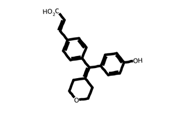 O=C(O)C=Cc1ccc(C(=C2CCOCC2)c2ccc(O)cc2)cc1